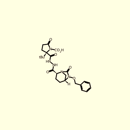 CC(C)(C)[C@@]1(C(=O)NNC(=O)[C@@H]2CC[C@@H]3CN2C(=O)N3OCc2ccccc2)CCC(=O)N1C(=O)O